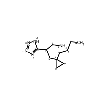 CCCCC1(CC(CN)c2nnn[nH]2)CC1